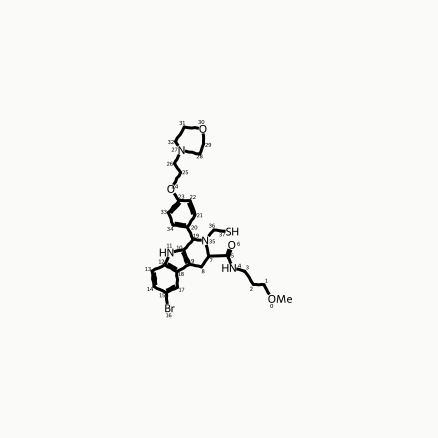 COCCCNC(=O)C1Cc2c([nH]c3ccc(Br)cc23)C(c2ccc(OCCN3CCOCC3)cc2)N1CS